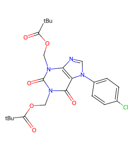 CC(C)(C)C(=O)OCn1c(=O)c2c(ncn2-c2ccc(Cl)cc2)n(COC(=O)C(C)(C)C)c1=O